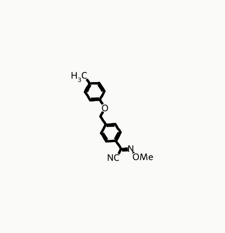 CON=C(C#N)c1ccc(COc2ccc(C)cc2)cc1